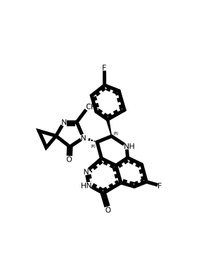 CC1=NC2(CC2)C(=O)N1[C@H]1c2n[nH]c(=O)c3cc(F)cc(c23)N[C@@H]1c1ccc(F)cc1